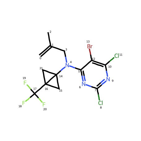 C=C(C)CN(c1nc(Cl)nc(Cl)c1Br)C12CC1(C(F)(F)F)C2